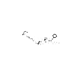 CNC(C(=O)NC(C(=O)N(C)C/C=C(\C)C(=O)NCC(=O)NCCN1C(=O)C=CC1=O)C(C)(C)C)C(C)(C)c1ccccc1